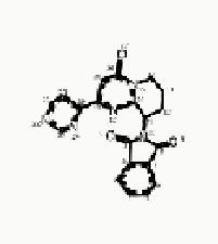 O=C1c2ccccc2C(=O)N1C1CCCn2c1nc(-c1ccncn1)cc2=O